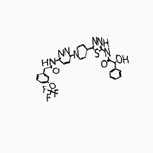 O=C(Cc1cccc(OC(F)(F)F)c1)Nc1ccc(N2CCC(c3nnc(NC(=O)[C@H](O)c4ccccc4)s3)CC2)nn1